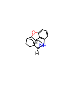 c1cc2c3c(c1)OC1C4CCC5(CC4)[C@@H](C2)NCC[C@]315